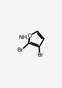 Brc1ccoc1Br.N